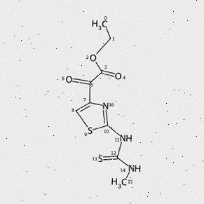 CCOC(=O)C(=O)c1csc(NC(=S)NC)n1